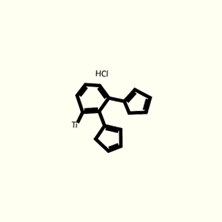 Cl.[Ti][c]1cccc(C2=CC=CC2)c1C1=CC=CC1